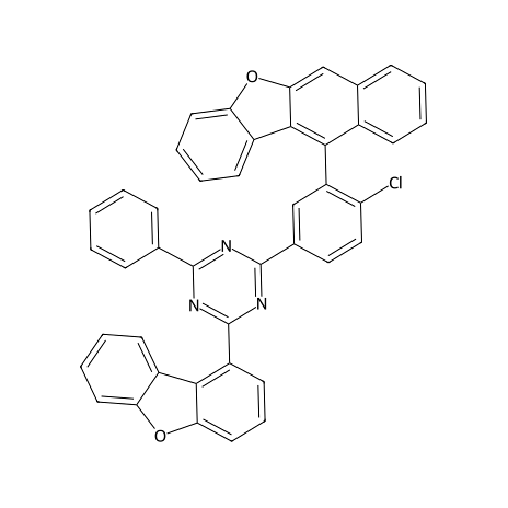 Clc1ccc(-c2nc(-c3ccccc3)nc(-c3cccc4oc5ccccc5c34)n2)cc1-c1c2ccccc2cc2oc3ccccc3c12